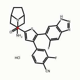 Cl.N#Cc1ccc(-c2cc(C(=O)N3C4CCC3CC(N)C4)sc2-c2cc3[nH]nnc3cc2F)cc1F